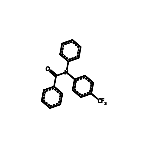 O=C(c1ccccc1)N(c1ccccc1)c1ccc(C(F)(F)F)cc1